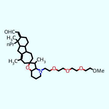 CCCC1(C)/C(=C\C=O)CCC2C3CCC4(CC(C)=C3CC21)OC1CCCN(CCOCCOCCOCCOC)C1C4C